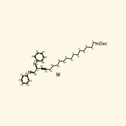 CCCCCCCCCCCCCCCCCCCCCCCCC#CC(C=Nc1ccccc1)=Nc1ccccc1.[Ni]